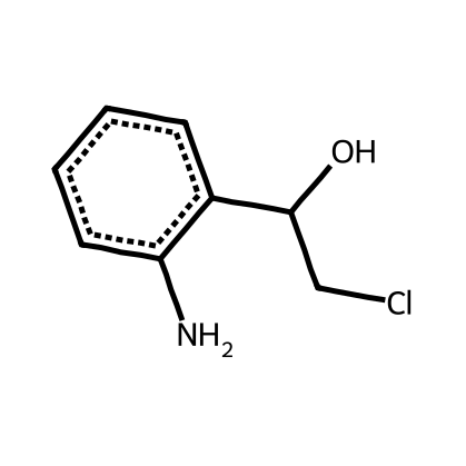 Nc1ccccc1C(O)CCl